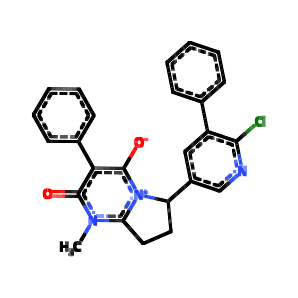 Cn1c2[n+](c([O-])c(-c3ccccc3)c1=O)C(c1cnc(Cl)c(-c3ccccc3)c1)CC2